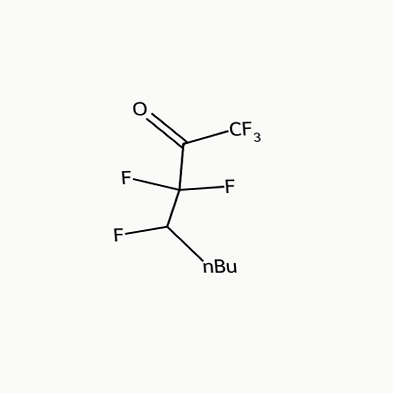 CCCCC(F)C(F)(F)C(=O)C(F)(F)F